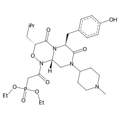 CCOP(=O)(CC(=O)N1O[C@H](CC(C)C)C(=O)N2[C@@H]1CN(C1CCN(C)CC1)C(=O)[C@@H]2Cc1ccc(O)cc1)OCC